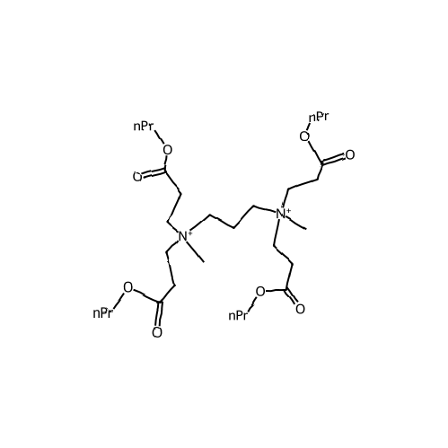 CCCOC(=O)CC[N+](C)(CCC[N+](C)(CCC(=O)OCCC)CCC(=O)OCCC)CCC(=O)OCCC